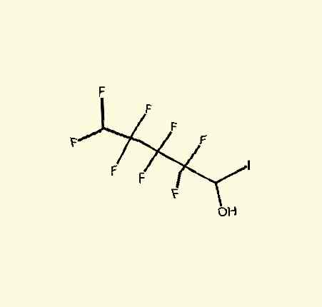 OC(I)C(F)(F)C(F)(F)C(F)(F)C(F)F